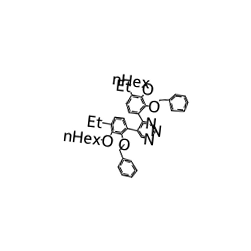 CCCCCCOc1c(CC)ccc(-c2cnnnc2-c2ccc(CC)c(OCCCCCC)c2OCc2ccccc2)c1OCc1ccccc1